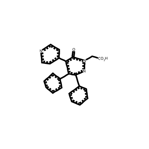 O=C(O)Cn1nc(-c2ccccc2)c(-c2ccccc2)c(-c2ccncc2)c1=O